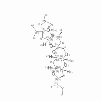 CC[C@H](C)[C@@H]1C[C@H]2O[C@H]3OC[C@@]4(C[C@H](C)[C@@H]5O[C@](CC(C)C)(C(C)C)C[C@@H]5O4)O[C@H]3C[C@H]2O1